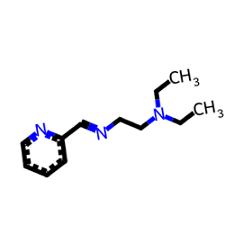 CCN(CC)CCN=Cc1ccccn1